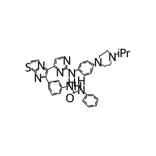 CC(C)N1CCN(c2ccc(Nc3nccc(-c4c(-c5cccc(NC(=O)Nc6ccccc6)c5)nc5sccn45)n3)cc2)CC1